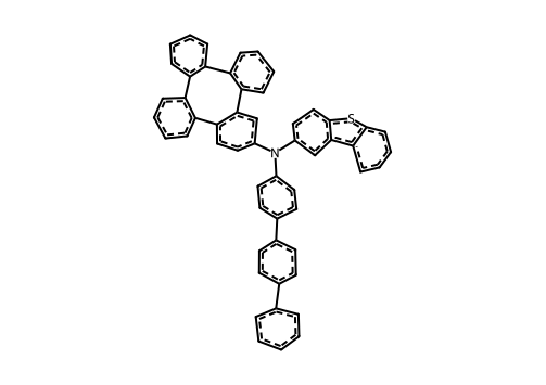 c1ccc(-c2ccc(-c3ccc(N(c4ccc5c(c4)-c4ccccc4-c4ccccc4-c4ccccc4-5)c4ccc5sc6ccccc6c5c4)cc3)cc2)cc1